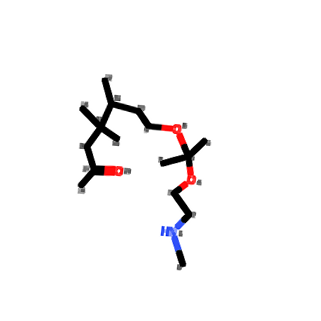 CNCCOC(C)(C)OCCC(C)C(C)(C)CC(C)=O